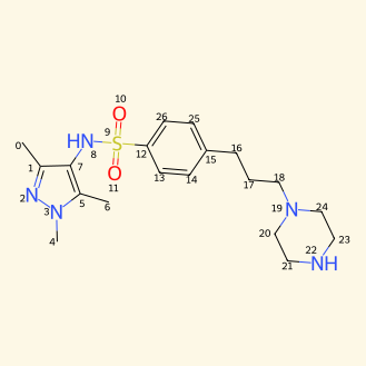 Cc1nn(C)c(C)c1NS(=O)(=O)c1ccc(CCCN2CCNCC2)cc1